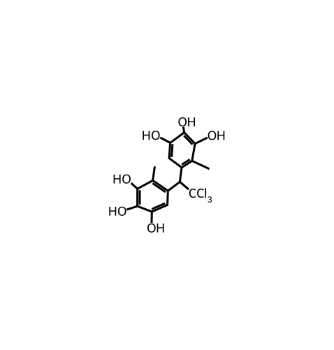 Cc1c(C(c2cc(O)c(O)c(O)c2C)C(Cl)(Cl)Cl)cc(O)c(O)c1O